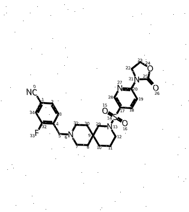 N#Cc1ccc(CN2CCC3(CCCN(S(=O)(=O)c4ccc(N5CCOC5=O)nc4)C3)CC2)c(F)c1